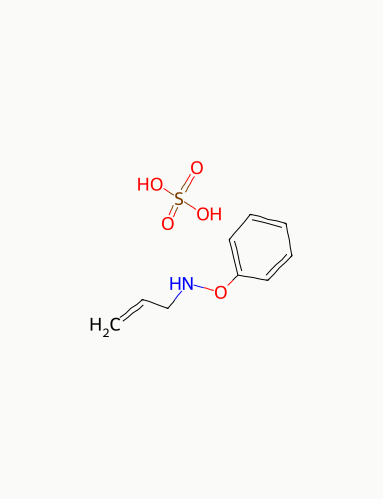 C=CCNOc1ccccc1.O=S(=O)(O)O